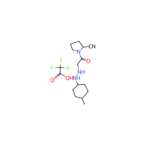 CC1CCC(NNCC(=O)N2CCCC2C#N)CC1.O=C(O)C(F)(F)F